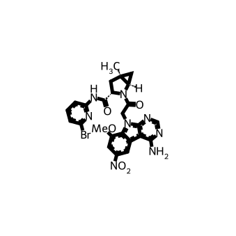 COc1cc([N+](=O)[O-])cc2c3c(N)ncnc3n(CC(=O)N3[C@H](C(=O)Nc4cccc(Br)n4)C[C@@]4(C)C[C@@H]34)c12